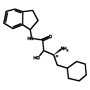 N[C@H](CC1CCCCC1)C(O)C(=O)NC1CCc2ccccc21